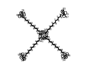 CO[Si](CCCCCCCCCCCC[Si]1(C)O[Si](C)(CCCCCCCCCCCC[Si](OC)(OC)OC)O[Si](C)(CCCCCCCCCCCC[Si](OC)(OC)OC)O[Si](C)(CCCCCCCCCCCC[Si](OC)(OC)OC)O1)(OC)OC